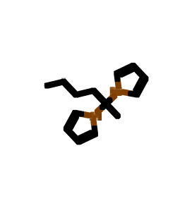 C[CH]CCC(C)([SH]1C=CC=C1)[SH]1C=CC=C1